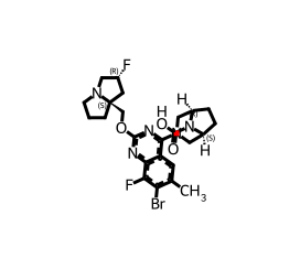 Cc1cc2c(N3C[C@H]4CC[C@@H](C3)N4C(=O)O)nc(OC[C@@]34CCCN3C[C@H](F)C4)nc2c(F)c1Br